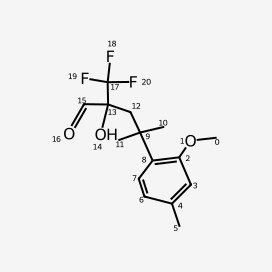 COc1cc(C)ccc1C(C)(C)CC(O)(C=O)C(F)(F)F